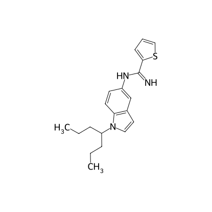 CCCC(CCC)n1ccc2cc(NC(=N)c3cccs3)ccc21